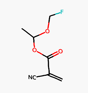 C=C(C#N)C(=O)OC(C)OCF